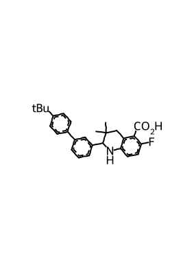 CC(C)(C)c1ccc(-c2cccc(C3Nc4ccc(F)c(C(=O)O)c4CC3(C)C)c2)cc1